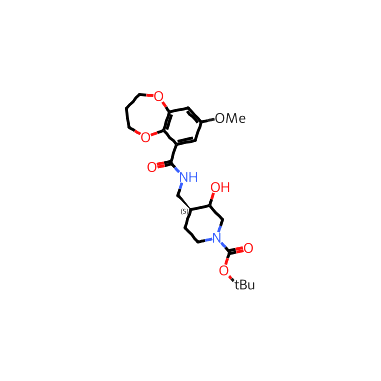 COc1cc2c(c(C(=O)NC[C@@H]3CCN(C(=O)OC(C)(C)C)CC3O)c1)OCCCO2